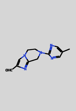 Cc1cnc(N2CCn3cc(C=O)nc3C2)nc1